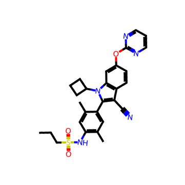 CCCS(=O)(=O)Nc1cc(C)c(-c2c(C#N)c3ccc(Oc4ncccn4)cc3n2C2CCC2)cc1C